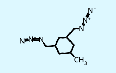 CC1CC(CN=[N+]=[N-])CC(CN=[N+]=[N-])C1